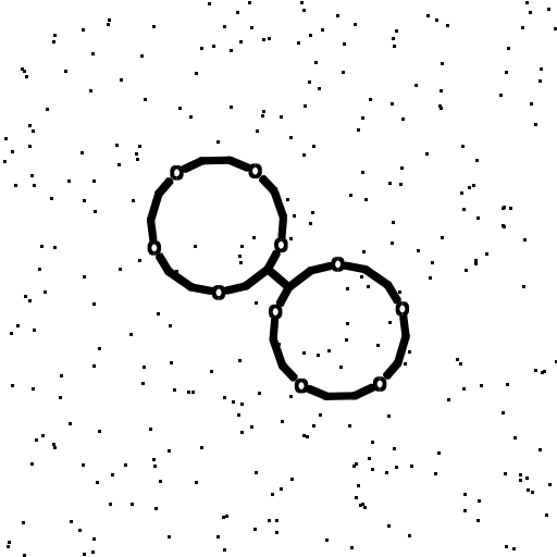 C1COCCOCC(C2COCCOCCOCCOCCO2)OCCOCCO1